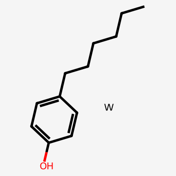 CCCCCCc1ccc(O)cc1.[W]